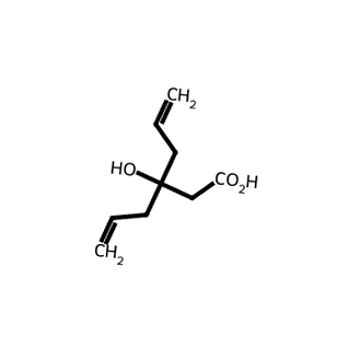 C=CCC(O)(CC=C)CC(=O)O